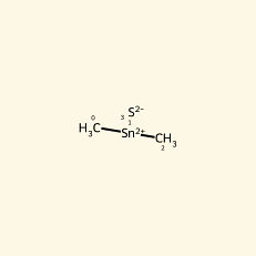 [CH3][Sn+2][CH3].[S-2]